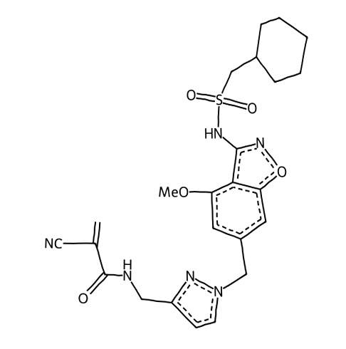 C=C(C#N)C(=O)NCc1ccn(Cc2cc(OC)c3c(NS(=O)(=O)CC4CCCCC4)noc3c2)n1